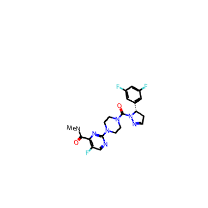 CNC(=O)c1nc(N2CCN(C(=O)N3N=CC[C@H]3c3cc(F)cc(F)c3)CC2)ncc1F